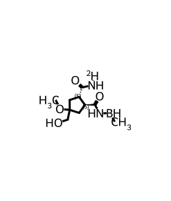 [2H]NC(=O)[C@H]1CC(CO)(OC)C[C@@H]1C(=O)NBC